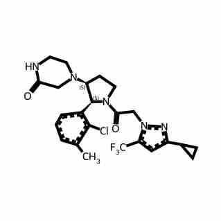 Cc1cccc([C@H]2[C@@H](N3CCNC(=O)C3)CCN2C(=O)Cn2nc(C3CC3)cc2C(F)(F)F)c1Cl